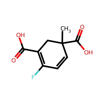 CC1(C(=O)O)C=CC(F)=C(C(=O)O)C1